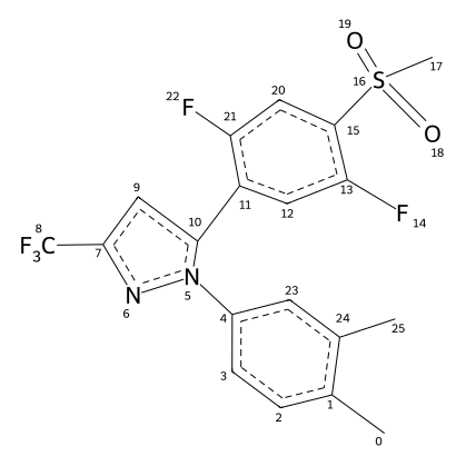 Cc1ccc(-n2nc(C(F)(F)F)cc2-c2cc(F)c(S(C)(=O)=O)cc2F)cc1C